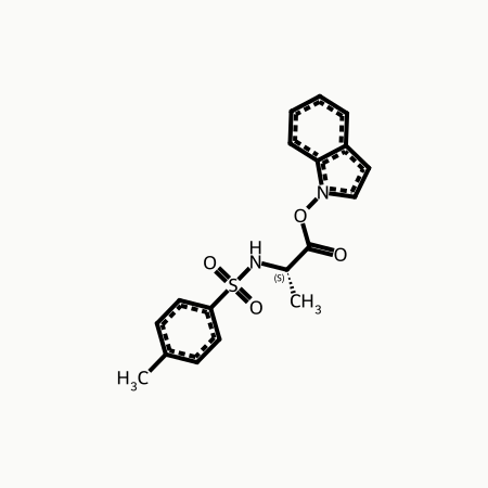 Cc1ccc(S(=O)(=O)N[C@@H](C)C(=O)On2ccc3ccccc32)cc1